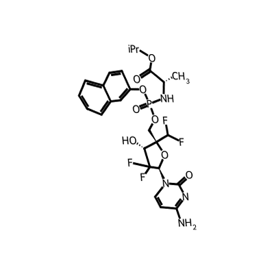 CC(C)OC(=O)[C@H](C)NP(=O)(OC[C@@]1(C(F)F)O[C@@H](n2ccc(N)nc2=O)C(F)(F)[C@@H]1O)Oc1ccc2ccccc2c1